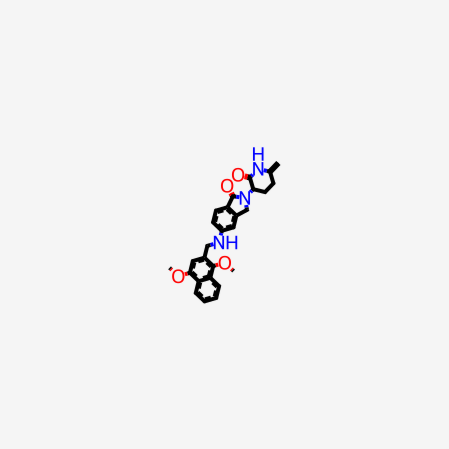 C=C1CCC(N2Cc3cc(NCc4cc(OC)c5ccccc5c4OC)ccc3C2=O)C(=O)N1